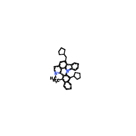 Cc1c2ccccc2c(C2CCCC2)c2c1c1c3c(cc[n+]1C)cc(CC1CCCC1)c1c4ccccc4n2c13